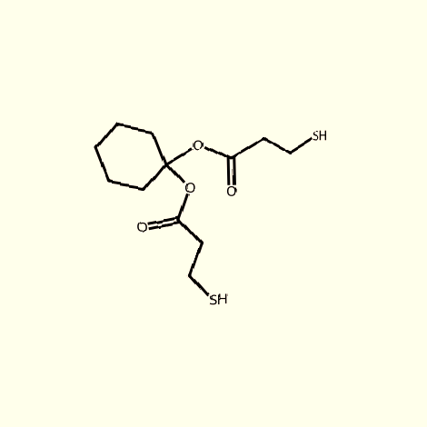 O=C(CCS)OC1(OC(=O)CCS)CCCCC1